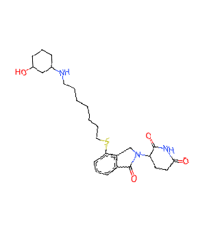 O=C1CCC(N2Cc3c(SCCCCCCCNC4CCCC(O)C4)cccc3C2=O)C(=O)N1